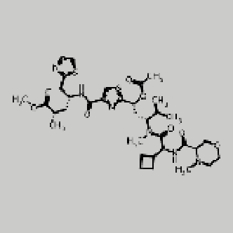 COC(=O)[C@@H](C)C[C@H](Cc1nccs1)NC(=O)c1csc([C@@H](C[C@H](C(C)C)N(C)C(=O)[C@@H](NC(=O)[C@H]2COCCN2C)C2CCC2)OC(C)=O)n1